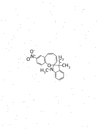 CN1c2ccccc2C(C)(C)C12C=CC=Cc1cc([N+](=O)[O-])ccc1O2